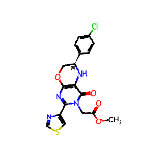 COC(=O)Cn1c(-c2cscn2)nc2c(c1=O)N[C@H](c1ccc(Cl)cc1)CO2